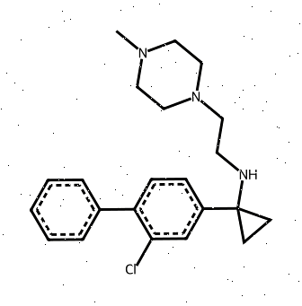 CN1CCN(CCNC2(c3ccc(-c4ccccc4)c(Cl)c3)CC2)CC1